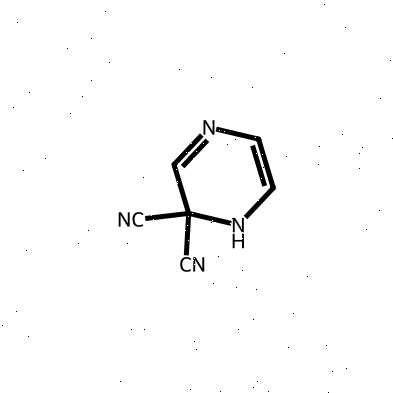 N#CC1(C#N)C=NC=CN1